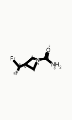 NC(=O)N1CC(C(F)F)C1